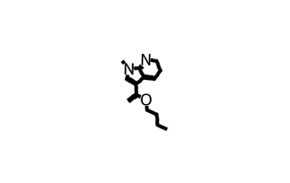 C=C(OCCCC)c1cn(C)c2c1=CCCN=2